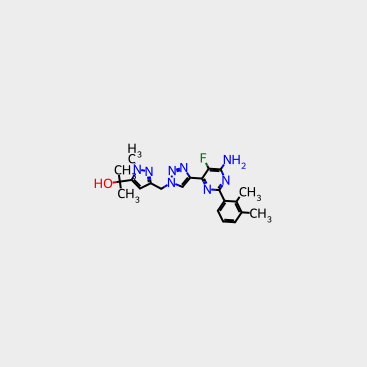 Cc1cccc(-c2nc(N)c(F)c(-c3cn(Cc4cc(C(C)(C)O)n(C)n4)nn3)n2)c1C